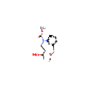 BrCc1ccccc1.CC(C)(C)OC(=O)NCCC(O)C(=O)O